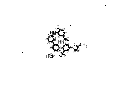 Cc1cn(-c2cc(NC(=O)c3ccc(C)c(Nc4nccc(-c5cccnc5)n4)c3)cc(C(F)(F)F)c2)cn1.Cl.Cl